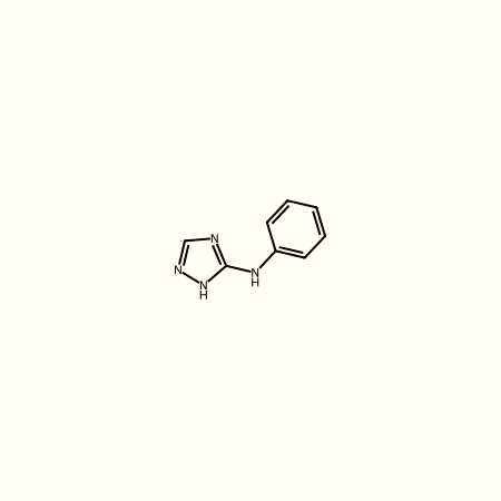 [c]1n[nH]c(Nc2ccccc2)n1